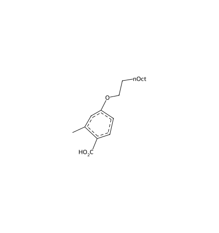 CCCCCCCCCCOc1ccc(C(=O)O)c(C)c1